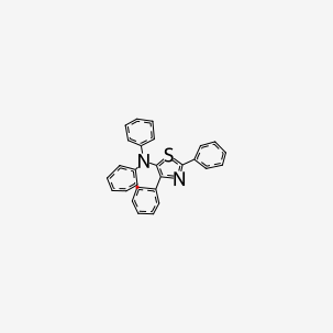 c1ccc(-c2nc(-c3ccccc3)c(N(c3ccccc3)c3ccccc3)s2)cc1